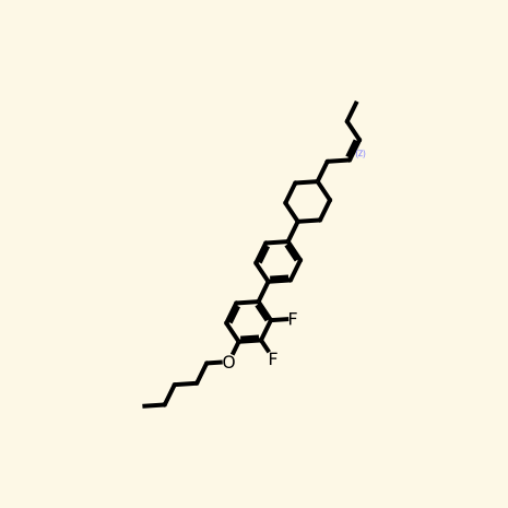 CC/C=C\CC1CCC(c2ccc(-c3ccc(OCCCCC)c(F)c3F)cc2)CC1